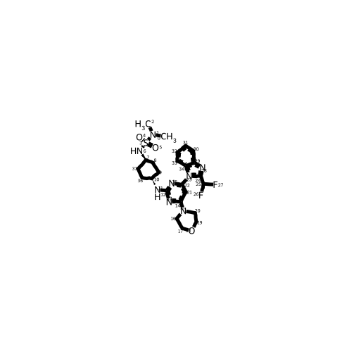 CN(C)S(=O)(=O)N[C@H]1CC[C@H](Nc2nc(N3CCOCC3)cc(-n3c(C(F)F)nc4ccccc43)n2)CC1